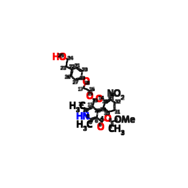 COC(C)OC(=O)C1=C(C)NC(C)=C(C(=O)OCCOc2ccc(CCO)cc2)C1c1cccc([N+](=O)[O-])c1